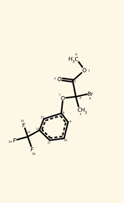 COC(=O)C(C)(Br)Oc1cccc(C(F)(F)F)c1